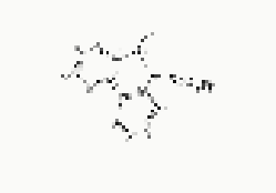 CCOC(=O)C(c1ccccc1)C(C)c1ccccc1